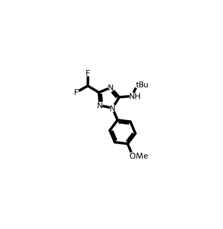 COc1ccc(-n2nc(C(F)F)nc2NC(C)(C)C)cc1